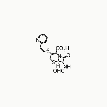 O=CNC1C(=O)N2C(C(=O)O)=C(S/C=C\c3ccccn3)CS[C@H]12